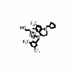 Cc1cc2c(cc1C(F)(F)F)N(CC1CCCC1)CCC[C@@H]2N(Cc1cc(C(F)(F)F)cc(C(F)(F)F)c1)c1nnn(CCO)n1